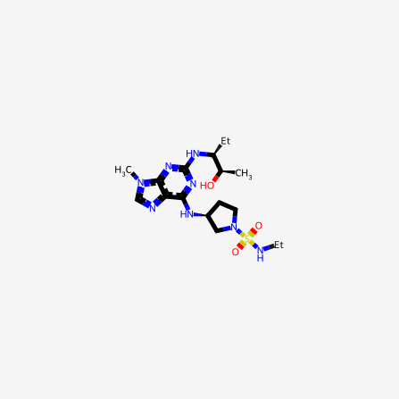 CCNS(=O)(=O)N1CC[C@H](Nc2nc(N[C@@H](CC)[C@@H](C)O)nc3c2ncn3C)C1